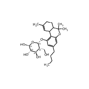 CCCCc1cc(O[C@H]2O[C@H](O)[C@@H](O)[C@H](O)[C@H]2CO)c2c(c1)OC(C)(C)C1CCC(C)=CC21